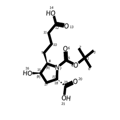 CC(C)(C)OC(=O)N1[C@H](CCCC(=O)O)[C@H](O)C[C@H]1C(=O)O